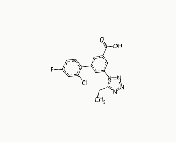 CCc1nnnn1-c1cc(C(=O)O)cc(-c2ccc(F)cc2Cl)c1